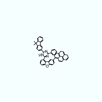 CC1(C)c2ccccc2-c2cc(C3N=C(c4ccccc4)N=C(c4cccc5oc6ccc(-c7ccc8c9c%10c(ccc79)C=CCC%10=CC8)cc6c45)N3)ccc21